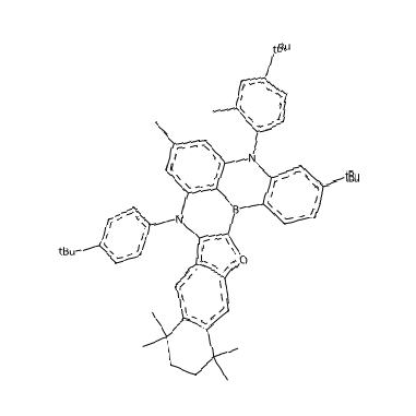 Cc1cc2c3c(c1)N(c1ccc(C(C)(C)C)cc1)c1c(oc4cc5c(cc14)C(C)(C)CCC5(C)C)B3c1ccc(C(C)(C)C)cc1N2c1ccc(C(C)(C)C)cc1C